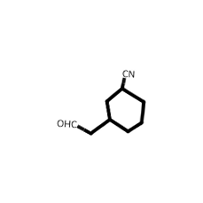 N#CC1CCCC(CC=O)C1